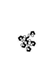 C1COC(OCC(OC2CCCO2)C(OC2CCCO2)C(COC2CCCS2)OC2CCCO2)C1